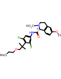 CCOc1ccc2c(c1)CCN(C(=O)O)[C@H]2C(=O)Nc1cc(F)c(C(C)(C)COCCOC)c(F)c1